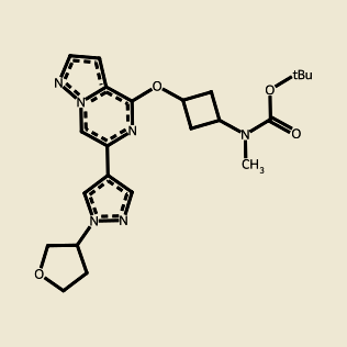 CN(C(=O)OC(C)(C)C)C1CC(Oc2nc(-c3cnn(C4CCOC4)c3)cn3nccc23)C1